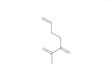 C=CCCC(=C)C(=C)C